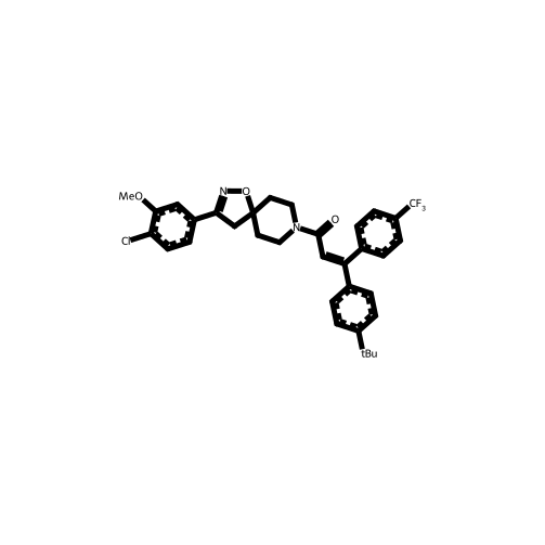 COc1cc(C2=NOC3(CCN(C(=O)C=C(c4ccc(C(C)(C)C)cc4)c4ccc(C(F)(F)F)cc4)CC3)C2)ccc1Cl